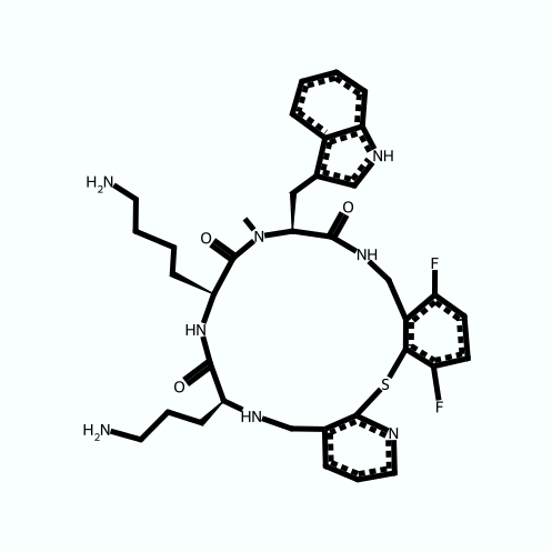 CN1C(=O)[C@H](CCCCN)NC(=O)[C@H](CCCN)NCc2cccnc2Sc2c(F)ccc(F)c2CNC(=O)[C@@H]1Cc1c[nH]c2ccccc12